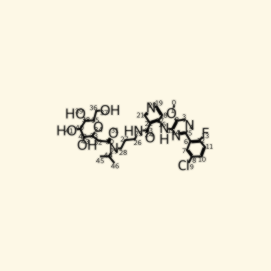 COc1cnc(-c2cc(Cl)ccc2F)nc1Nc1ccncc1C(=O)NCCCN(C(=O)CC1OC(CO)C(O)C(O)C1O)C(C)C